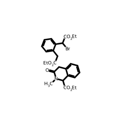 CCOC(=O)C1c2ccccc2CC(=O)N1C.CCOC(=O)Cc1ccccc1C(Br)C(=O)OCC